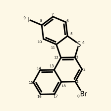 Brc1cc2sc3ccc(I)cc3c2c2ccccc12